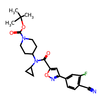 CC(C)(C)OC(=O)N1CCC(N(C(=O)c2cc(-c3ccc(C#N)c(F)c3)no2)C2CC2)CC1